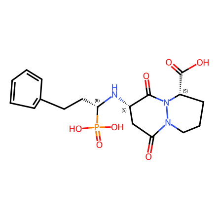 O=C(O)[C@@H]1CCCN2C(=O)C[C@H](N[C@@H](CCc3ccccc3)P(=O)(O)O)C(=O)N12